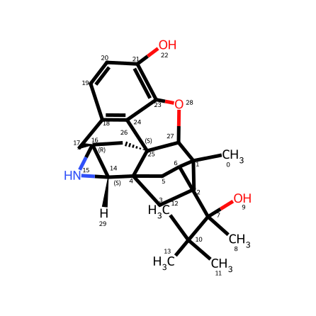 CC12CCC3(CC1C(C)(O)C(C)(C)C)[C@@H]1N[C@@]14Cc1ccc(O)c5c1[C@@]3(C4)C2O5